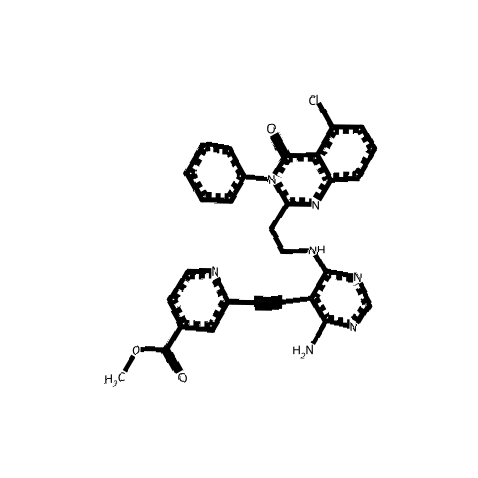 COC(=O)c1ccnc(C#Cc2c(N)ncnc2NCCc2nc3cccc(Cl)c3c(=O)n2-c2ccccc2)c1